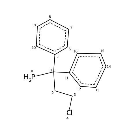 PC(CCCl)(c1ccccc1)c1ccccc1